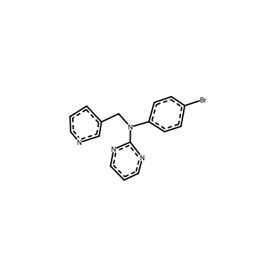 Brc1ccc(N(Cc2cccnc2)c2ncccn2)cc1